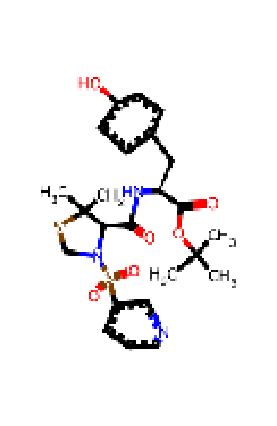 CC(C)(C)OC(=O)[C@H](Cc1ccc(O)cc1)NC(=O)[C@H]1N(S(=O)(=O)c2cccnc2)CSC1(C)C